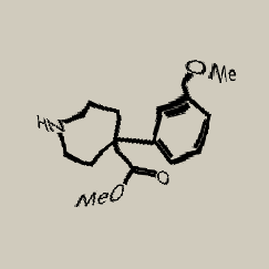 COC(=O)C1(c2cccc(OC)c2)CCNCC1